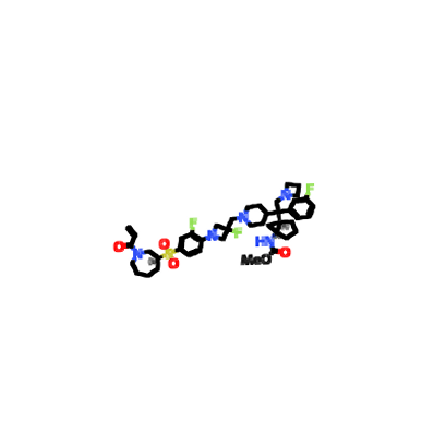 C=CC(=O)N1CCCC[C@H](S(=O)(=O)c2ccc(N3CC(F)(CN4CCC(C(CN5CCC5)(c5cccc(F)c5)[C@@]56CCC[C@]5(NC(=O)OC)C6)CC4)C3)c(F)c2)C1